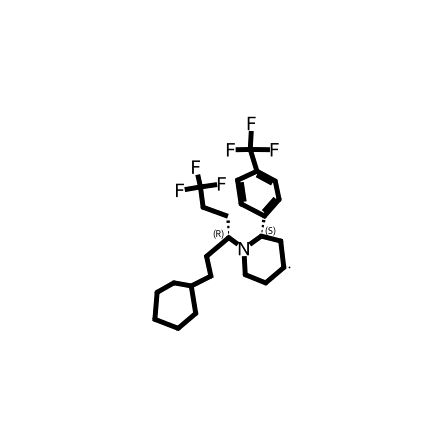 FC(F)(F)CC[C@@H](CCC1CCCCC1)N1CC[CH]C[C@H]1c1ccc(C(F)(F)F)cc1